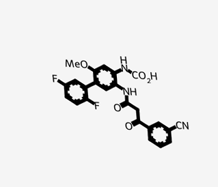 COc1cc(NC(=O)O)c(NC(=O)CC(=O)c2cccc(C#N)c2)cc1-c1cc(F)ccc1F